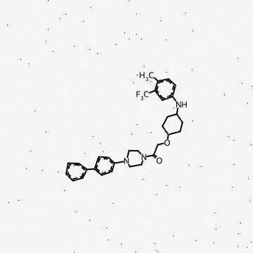 Cc1ccc(NC2CCC(OCC(=O)N3CCN(c4ccc(-c5ccccc5)cc4)CC3)CC2)cc1C(F)(F)F